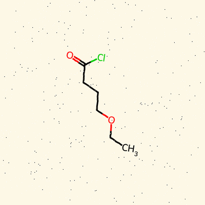 CCOCCCC(=O)Cl